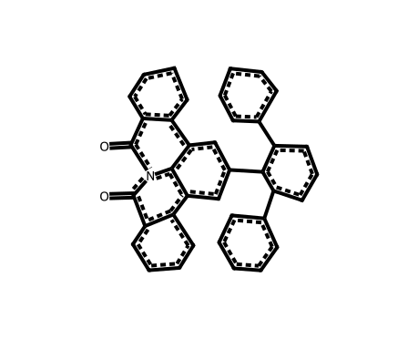 O=c1c2ccccc2c2cc(-c3c(-c4ccccc4)cccc3-c3ccccc3)cc3c4ccccc4c(=O)n1c23